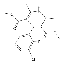 COC(=O)C1=C(C)NC(C)C(C(=O)OC)C1c1cccc(Cl)c1F